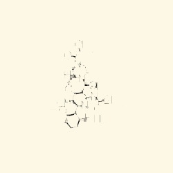 C=CC(=O)N1CCN2C(=O)c3c(NC(C)C)nc(-c4c(O)cccc4F)c(Cl)c3OC[C@H]2C1